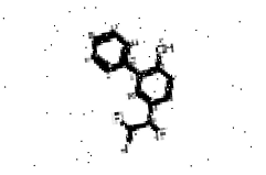 Oc1ccc(C(F)C(F)F)cc1-c1ccccc1